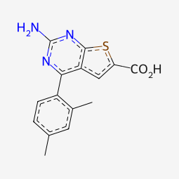 Cc1ccc(-c2nc(N)nc3sc(C(=O)O)cc23)c(C)c1